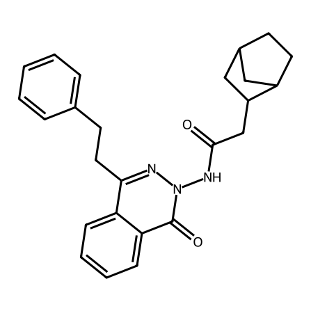 O=C(CC1CC2CCC1C2)Nn1nc(CCc2ccccc2)c2ccccc2c1=O